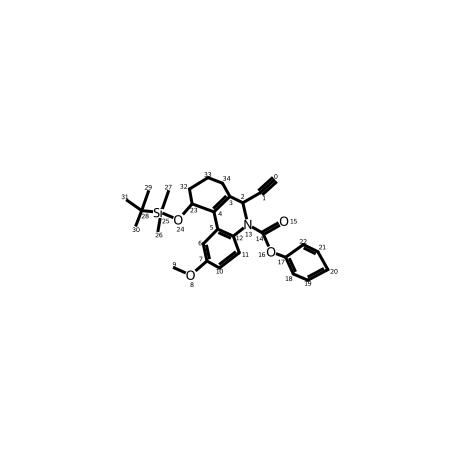 C#CC1C2=C(c3cc(OC)ccc3N1C(=O)Oc1ccccc1)C(O[Si](C)(C)C(C)(C)C)CCC2